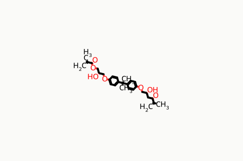 C=C(C)C(=O)CC(O)COc1ccc(C(C)(C)c2ccc(OCC(O)COC(=O)C(=C)C)cc2)cc1